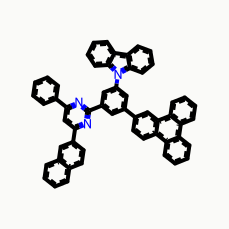 c1ccc(-c2cc(-c3ccc4ccccc4c3)nc(-c3cc(-c4ccc5c6ccccc6c6ccccc6c5c4)cc(-n4c5ccccc5c5ccccc54)c3)n2)cc1